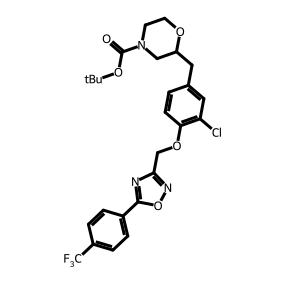 CC(C)(C)OC(=O)N1CCOC(Cc2ccc(OCc3noc(-c4ccc(C(F)(F)F)cc4)n3)c(Cl)c2)C1